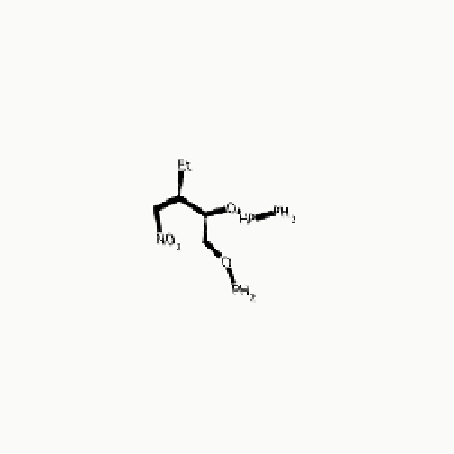 CC[C@H](C[N+](=O)[O-])[C@H](COP)OPP